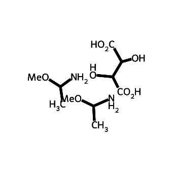 COC(C)N.COC(C)N.O=C(O)C(O)C(O)C(=O)O